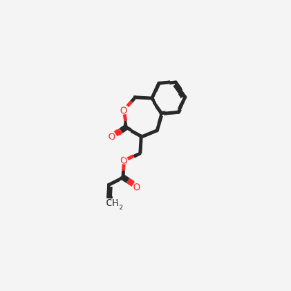 C=CC(=O)OCC1CC2CC=CCC2COC1=O